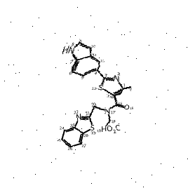 Cc1nc(-c2ccc3[nH]ccc3c2)sc1C(=O)N(CC(=O)O)Cc1nc2ccccc2s1